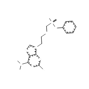 CN(C)c1nc(N)nc2c1ncn2CCOCP(=O)(O)Oc1ccccc1